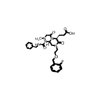 CN1CC(=O)N2[C@@H](CCC(=O)O)C(=O)N(CCOCc3ccccc3F)C[C@@H]2N1C(=O)NCc1ccccc1